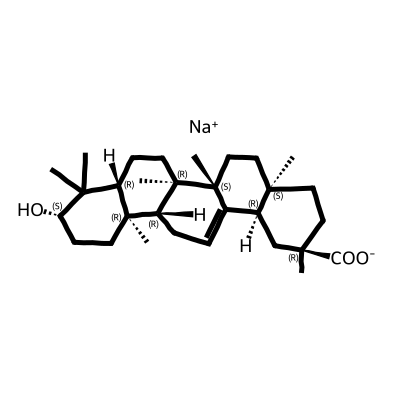 CC1(C)[C@@H](O)CC[C@]2(C)[C@H]3CC=C4[C@@H]5C[C@](C)(C(=O)[O-])CC[C@]5(C)CC[C@@]4(C)[C@]3(C)CC[C@@H]12.[Na+]